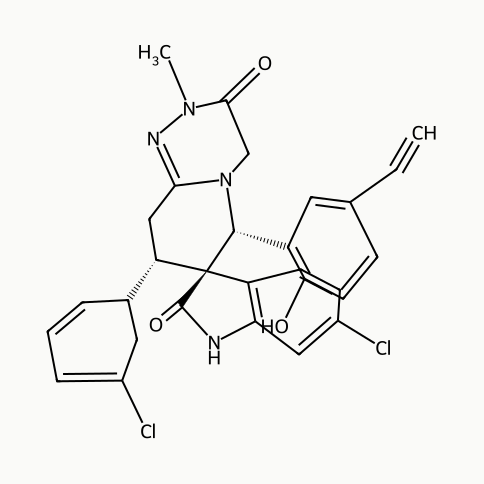 C#Cc1ccc(O)c([C@H]2N3CC(=O)N(C)N=C3C[C@@H](C3C=CC=C(Cl)C3)[C@]23C(=O)Nc2cc(Cl)ccc23)c1